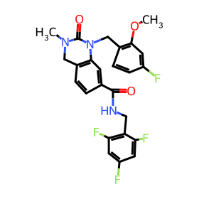 COc1cc(F)ccc1CN1C(=O)N(C)Cc2ccc(C(=O)NCc3c(F)cc(F)cc3F)cc21